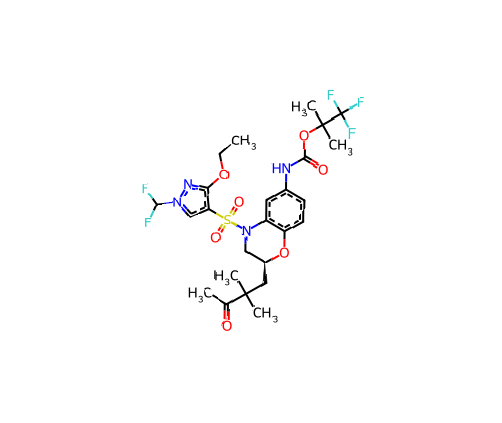 CCOc1nn(C(F)F)cc1S(=O)(=O)N1C[C@H](CC(C)(C)C(C)=O)Oc2ccc(NC(=O)OC(C)(C)C(F)(F)F)cc21